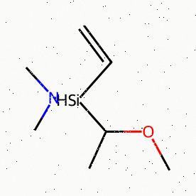 C=C[SiH](C(C)OC)N(C)C